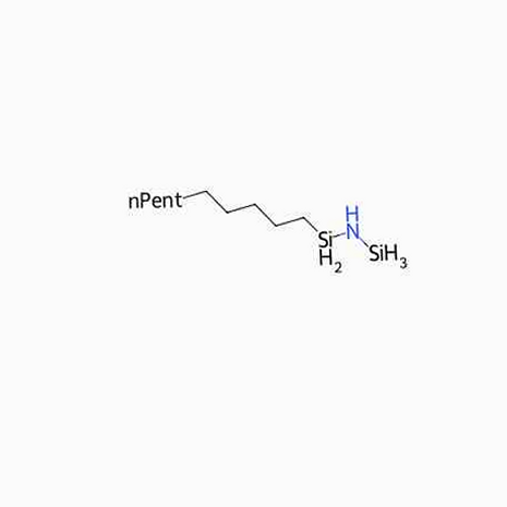 CCCCCCCCCC[SiH2]N[SiH3]